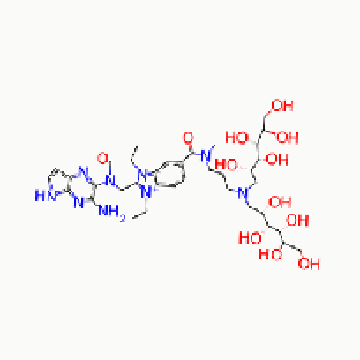 CCn1c(CN(C=O)c2nc3cc[nH]c3nc2N)[n+](CC)c2ccc(C(=O)N(C)CCCN(C[C@H](O)[C@@H](O)[C@H](O)[C@H](O)CO)C[C@H](O)[C@@H](O)[C@H](O)[C@H](O)CO)cc21